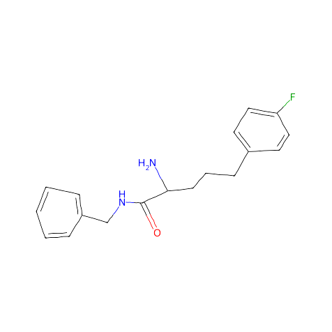 NC(CCCc1ccc(F)cc1)C(=O)NCc1ccccc1